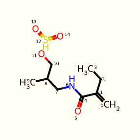 C=C(CC)C(=O)NCC(C)CO[SH](=O)=O